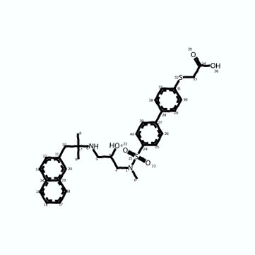 CN(CC(O)CNC(C)(C)Cc1ccc2ccccc2c1)S(=O)(=O)c1ccc(-c2ccc(SCC(=O)O)cc2)cc1